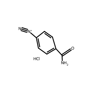 Cl.N#[N+]c1ccc(C(N)=O)cc1